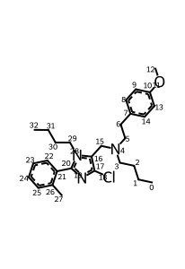 CCCCN(CCc1ccc(OC)cc1)Cc1c(Cl)nc(-c2ccccc2C)n1CCCC